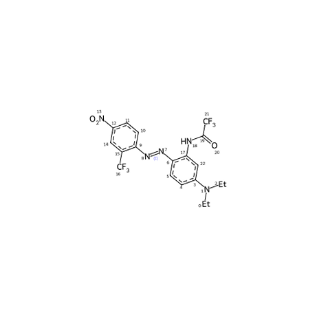 CCN(CC)c1ccc(/N=N/c2ccc([N+](=O)[O-])cc2C(F)(F)F)c(NC(=O)C(F)(F)F)c1